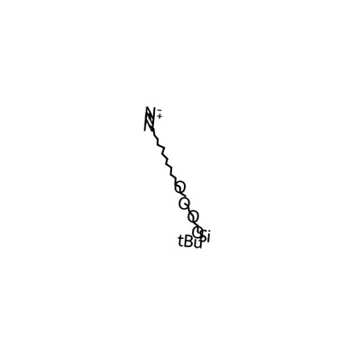 CC(C)(C)[Si](C)(C)OCCOCCOCCOCCCCCCCCCCCCN=[N+]=[N-]